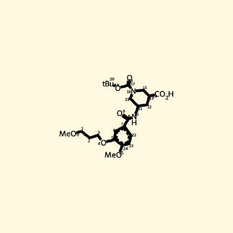 COCCCOc1cc(C(=O)NC2CC(C(=O)O)CN(C(=O)OC(C)(C)C)C2)ccc1OC